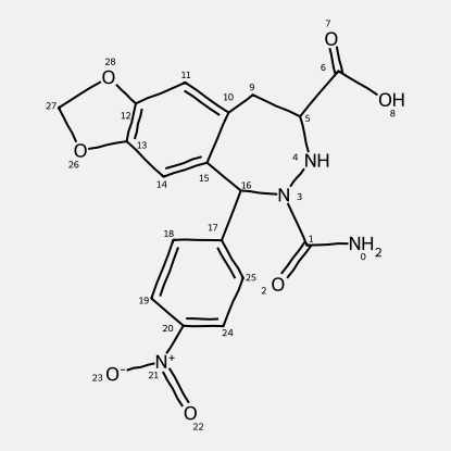 NC(=O)N1NC(C(=O)O)Cc2cc3c(cc2C1c1ccc([N+](=O)[O-])cc1)OCO3